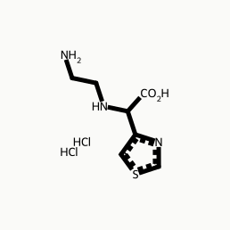 Cl.Cl.NCCNC(C(=O)O)c1cscn1